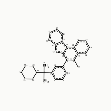 BC(B)(c1ccnc(-c2c(C)c3ccccc3c3c2oc2ncccc23)c1)C1CCCCC1